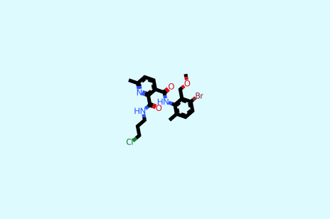 COCc1c(Br)ccc(C)c1NC(=O)c1ccc(C)nc1C(=O)NCCCCl